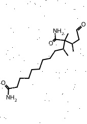 CC(CC=O)C(C)(C(N)=O)C(C)CCCCCCCCC(N)=O